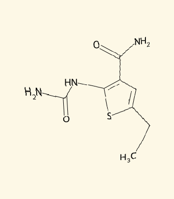 CCc1cc(C(N)=O)c(NC(N)=O)s1